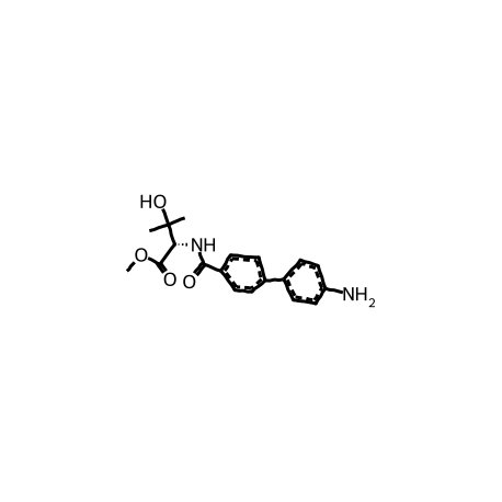 COC(=O)[C@@H](NC(=O)c1ccc(-c2ccc(N)cc2)cc1)C(C)(C)O